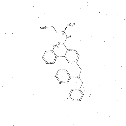 CSCC[C@H](NC(=O)c1ccc(CN(Cc2ccccc2)c2cccnc2)cc1-c1ccccc1C(F)(F)F)C(=O)O